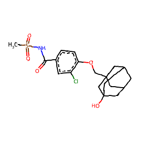 CS(=O)(=O)NC(=O)c1ccc(OCC23CC4CC(CC(O)(C4)C2)C3)c(Cl)c1